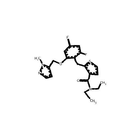 CCN(CC)C(=O)c1ccsc1Cc1c(F)cc(F)cc1OCc1ccnn1C